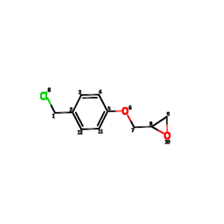 ClCc1ccc(OCC2CO2)cc1